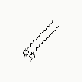 CCCCCCCCCCCCCCCCCN1CCN(C)CC1.CCCCCCCCCCCCCCCCN1CCN(C)CC1